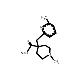 COC(=O)C1(Cc2cccc(C)n2)CCN(C)CC1